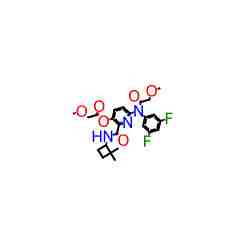 COCC(=O)Oc1ccc(N(C(=O)COC)c2cc(F)cc(F)c2)nc1C(=O)NC1CCC1(C)C